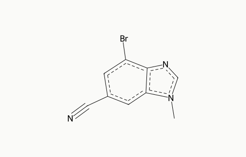 Cn1cnc2c(Br)cc(C#N)cc21